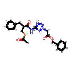 CC(=O)SCC(Cc1ccccc1)C(=O)Nc1nnn(CC(=O)OCc2ccccc2)n1